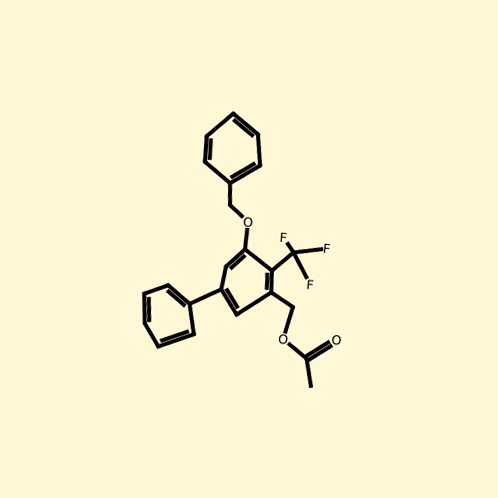 CC(=O)OCc1cc(-c2ccccc2)cc(OCc2ccccc2)c1C(F)(F)F